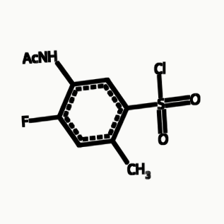 CC(=O)Nc1cc(S(=O)(=O)Cl)c(C)cc1F